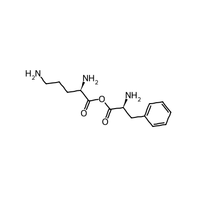 NCCC[C@@H](N)C(=O)OC(=O)[C@@H](N)Cc1ccccc1